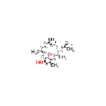 CC(C)=CCC/C(C)=C/Cc1c(C)cc(O)c(C/C=C(\C)CCC=C(C)C)c1O